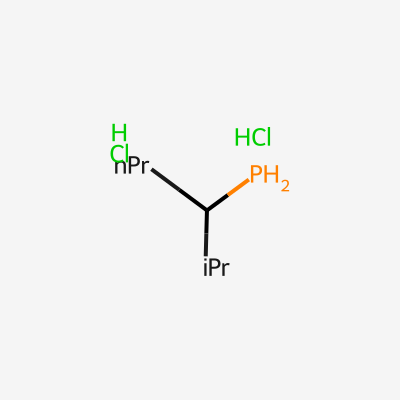 CCCC(P)C(C)C.Cl.Cl